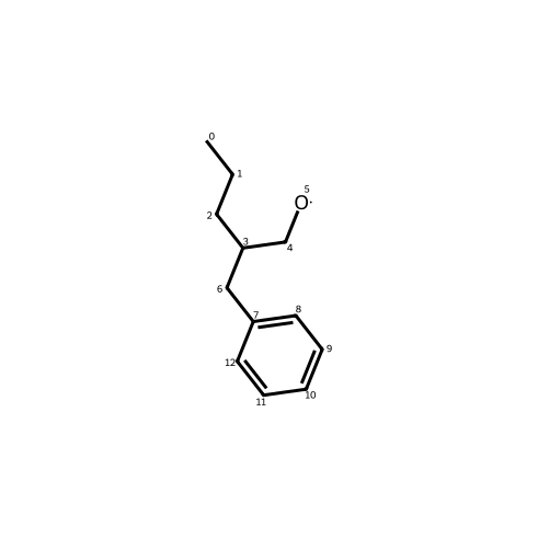 CCCC(C[O])Cc1ccccc1